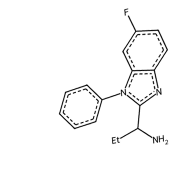 CCC(N)c1nc2ccc(F)cc2n1-c1ccccc1